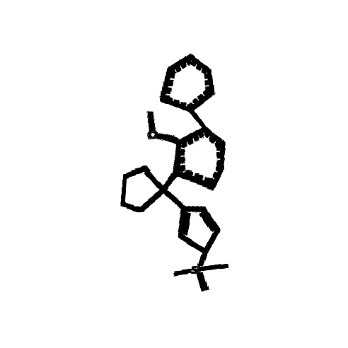 COc1c(-c2ccccc2)cccc1C1(C2=CC([Si](C)(C)C)C=C2)CCCC1